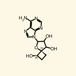 Nc1ncnc2c1ncn2C1O[C@]2(CC[C@H]2O)C(O)C1O